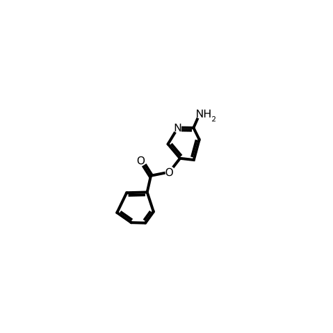 Nc1ccc(OC(=O)c2ccccc2)cn1